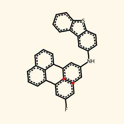 Fc1cccc(-c2cccc3cccc(-c4cccc(Nc5ccc6sc7ccccc7c6c5)c4)c23)c1